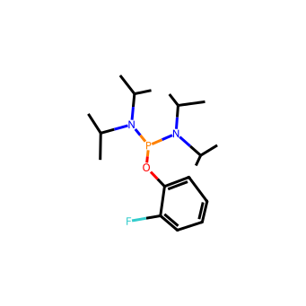 CC(C)N(C(C)C)P(Oc1ccccc1F)N(C(C)C)C(C)C